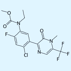 CCN(C(=O)OC)c1cc(-c2ncc(C(F)(F)F)n(C)c2=O)c(Cl)cc1F